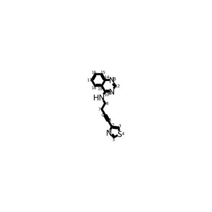 C(#Cc1cscn1)CCNc1ncnc2ccccc12